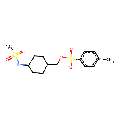 Cc1ccc(S(=O)(=O)OCC2CCC(NS(C)(=O)=O)CC2)cc1